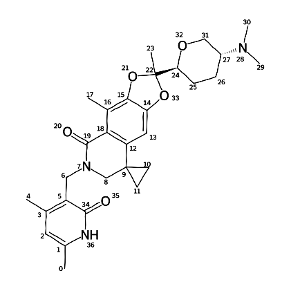 Cc1cc(C)c(CN2CC3(CC3)c3cc4c(c(C)c3C2=O)OC(C)([C@@H]2CC[C@@H](N(C)C)CO2)O4)c(=O)[nH]1